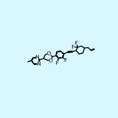 C=CCC1CCC(C#Cc2ccc(C3OCC(c4ncc(C)cn4)CO3)c(F)c2F)C(F)(F)C1